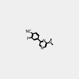 CN(C)c1cncc(-c2ccc(C#N)c(F)c2)n1